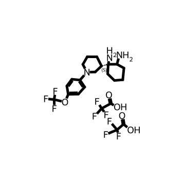 NC1CCCCC1(N)[C@H]1CCCN(c2ccc(OC(F)(F)F)cc2)C1.O=C(O)C(F)(F)F.O=C(O)C(F)(F)F